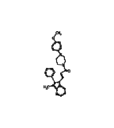 COc1ccc(N2CCN(C(=O)C=Cc3c(-c4ccccc4)n(C)c4ncccc34)CC2)cc1